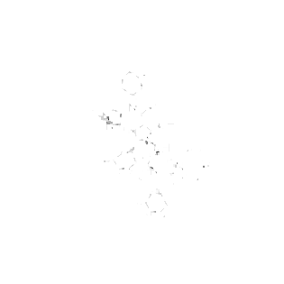 Cc1c(C(=O)N(c2cc[c]cc2)c2cnn(C)c2)cc(-c2cc(F)ccc2C(=O)N2Cc3ccccc3C[C@H]2CN2CCOCC2)n1C